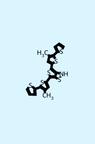 Cc1cc(-c2sc(-c3cc(C)c(-c4cccs4)s3)c3s[nH]c23)sc1-c1cccs1